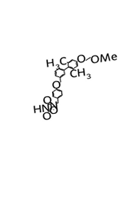 COCCOc1cc(C)c(-c2cccc(COc3ccc(Cn4oc(=O)[nH]c4=O)cc3)c2)c(C)c1